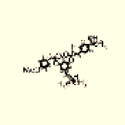 COc1ccc(CC(OCOC(=O)NCc2ccc(N(C)C)cc2)Oc2cccc(CNN(C)C)c2)cc1